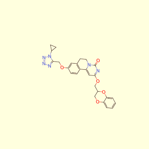 O=c1nc(OCC2COc3ccccc3O2)cc2n1CCc1cc(OCc3nnnn3C3CC3)ccc1-2